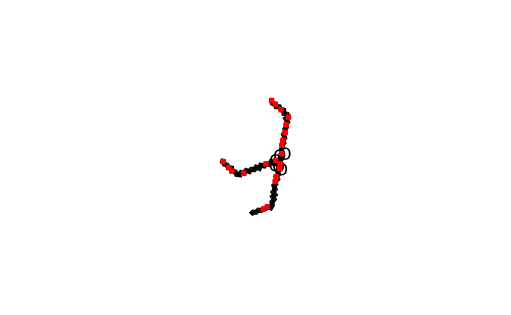 CCCCCCCC/C=C\CCCCCCCCCCCCCC(=O)OCC(COC(=O)CCCCCCCCCCCCC/C=C\CCCCCCCC)OC(=O)CCCCCCCCCCCCC/C=C\CCCCCCCC